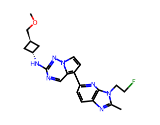 COC[C@H]1C[C@H](Nc2ncc3c(-c4ccc5nc(C)n(CCF)c5n4)ccn3n2)C1